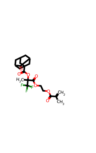 C=C(C)C(=O)OCCOC(=O)C(C)(OC(=O)C12CC3CC(C1)C(=O)C(C3)C2)C(F)(F)F